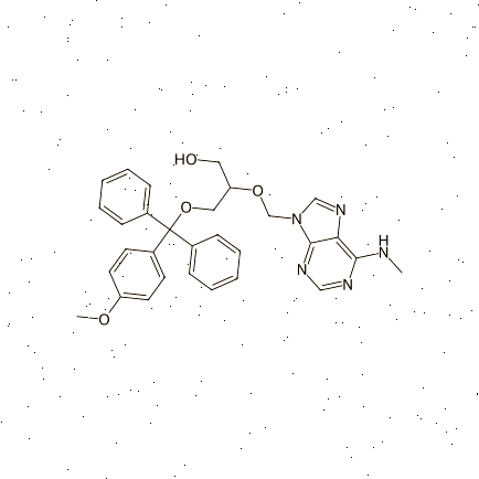 CNc1ncnc2c1ncn2COC(CO)COC(c1ccccc1)(c1ccccc1)c1ccc(OC)cc1